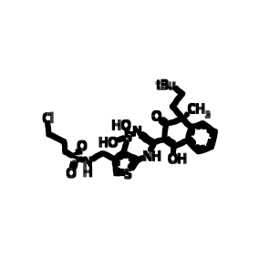 CC(C)(C)CC[C@@]1(C)C(=O)C(C2=NS(O)(O)c3c(CNS(=O)(=O)CCCCl)csc3N2)=C(O)c2ccccc21